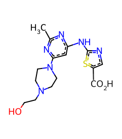 Cc1nc(Nc2ncc(C(=O)O)s2)cc(N2CCN(CCO)CC2)n1